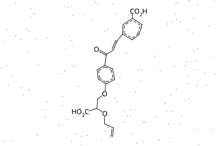 C=CCOC(COc1ccc(C(=O)C=Cc2cccc(C(=O)O)c2)cc1)C(=O)O